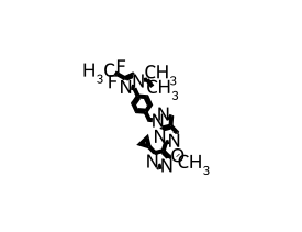 COc1ncnc(C2CC2)c1-c1ncc2cnn(Cc3ccc(-c4nc(C(C)(F)F)cn4C(C)C)cc3)c2n1